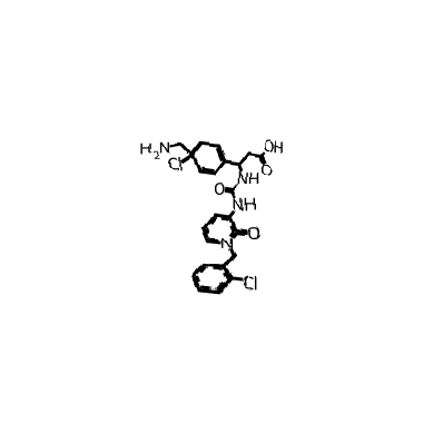 NCC1(Cl)C=CC(C(CC(=O)O)NC(=O)Nc2cccn(Cc3ccccc3Cl)c2=O)=CC1